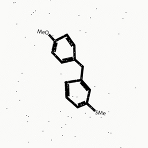 COc1ccc(Cc2[c]ccc(SC)c2)cc1